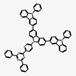 c1ccc(-c2nc(-c3ccccc3)nc(-c3ccc(-n4c5ccc(-c6ccc7c(c6)c6ccccc6n7-c6ccccc6)cc5c5cc(-c6ccc7c(c6)c6ccccc6n7-c6ccccc6)ccc54)cn3)n2)cc1